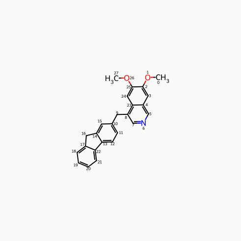 COc1cc2cncc(Cc3ccc4c(c3)Cc3ccccc3-4)c2cc1OC